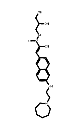 N#C/C(=C\c1ccc2cc(NCCN3CCCCCC3)ccc2c1)[S+]([O-])NCC(O)CO